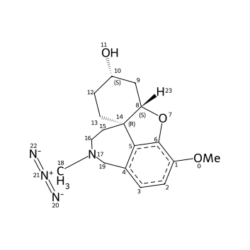 COc1ccc2c3c1O[C@H]1C[C@@H](O)CC[C@@]31CCN(C)C2.[N-]=[N+]=[N-]